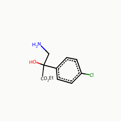 CCOC(=O)C(O)(CN)c1ccc(Cl)cc1